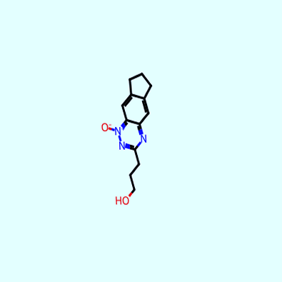 [O-][n+]1nc(CCCO)nc2cc3c(cc21)CCC3